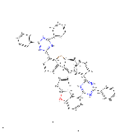 c1ccc(-c2nc(-c3ccccc3)nc(-c3cccc4c3sc3cccc(-c5ccc6oc7cccc(-c8nc(-c9ccccc9)nc(-c9ccccc9)n8)c7c6c5)c34)n2)cc1